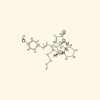 CCCCC1C(/C=C/c2ccc(OC)cc2)C2=CC(=O)O[C@@]23C[C@@H]1N1CCCC[C@@H]13